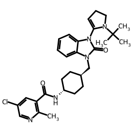 Cc1ncc(Cl)cc1C(=O)N[C@H]1CC[C@H](Cn2c(=O)n(C3=CCCN3C(C)(C)C)c3ccccc32)CC1